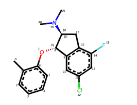 Cc1ccccc1O[C@H]1c2cc(Cl)cc(F)c2C[C@@H]1N(C)C